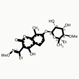 CC/C(=N\OC)c1c(O)c2ccc(O[C@@H]3O[C@@](C)(CC)[C@H](OC)[C@@H](O)[C@H]3O)c(C)c2oc1=O